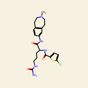 CN1CCc2ccc(NC(=O)C(CCCNC(N)=O)NC(=O)c3ccc(Cl)s3)cc2CC1